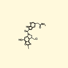 Cc1nc2c3c(cc(O)c2o1)N(C(=O)c1cc2cc(CC(N)=O)cnc2[nH]1)CC3CCl